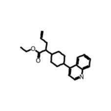 C=CCC(C(=O)OCC)C1CCC(c2ccnc3ccccc23)CC1